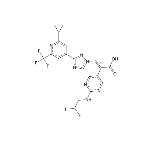 O=C(O)/C(=C/n1cnc(-c2cc(C3CC3)nc(C(F)(F)F)c2)n1)c1cnc(NCC(F)F)nc1